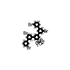 CO[Si](OC)(OC)c1cc(-c2cc(Br)cc(-c3cccc(Br)c3)c2)cc(-c2cc(Br)cc(-c3cccc(Br)c3)c2)c1